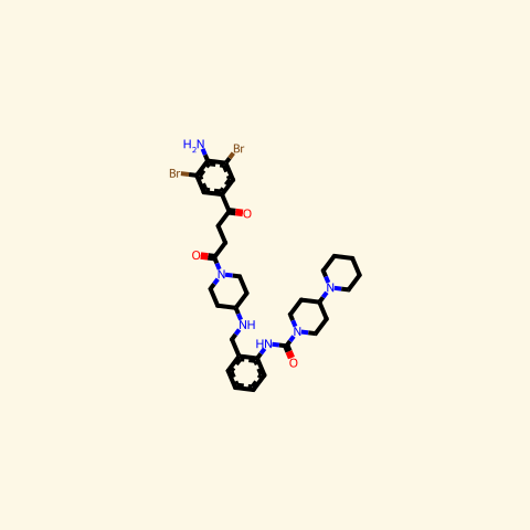 Nc1c(Br)cc(C(=O)CCC(=O)N2CCC(NCc3ccccc3NC(=O)N3CCC(N4CCCCC4)CC3)CC2)cc1Br